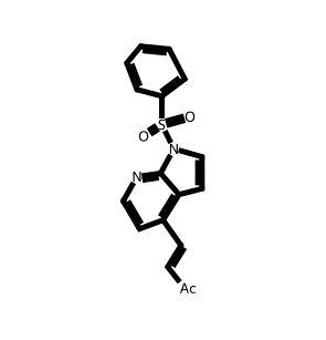 CC(=O)C=Cc1ccnc2c1ccn2S(=O)(=O)c1ccccc1